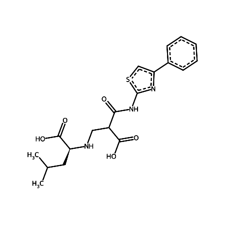 CC(C)C[C@H](NCC(C(=O)O)C(=O)Nc1nc(-c2ccccc2)cs1)C(=O)O